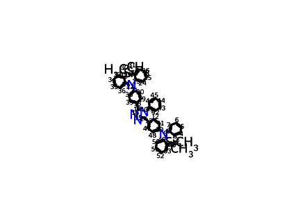 C[Si]1(C)c2ccccc2N(c2ccc(-c3nnc(-c4ccc(N5c6ccccc6[Si](C)(C)c6ccccc65)cc4)n3-c3ccccc3)cc2)c2ccccc21